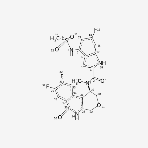 CN(C(=O)c1cc2c(NS(C)(=O)=O)cc(F)cc2[nH]1)[C@H]1COCc2[nH]c(=O)c3cc(F)c(F)cc3c21